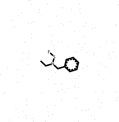 CCN(Cc1ccccc1)SF